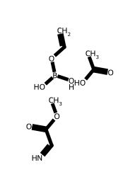 C=COB(O)O.CC(=O)O.COC(=O)C=N